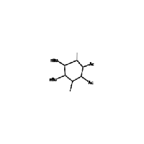 CCCCC1C(C)C(C(C)=O)C(C(C)=O)C(C)C1CCCC